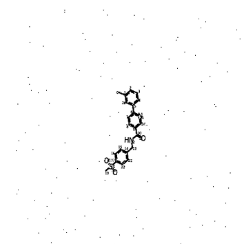 Cc1cccc(-c2ccc(C(=O)NCc3ccc(S(C)(=O)=O)cc3)cn2)c1